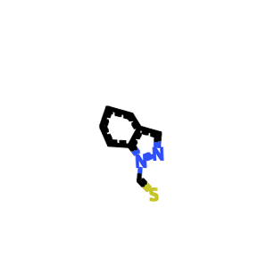 S=Cn1ncc2ccccc21